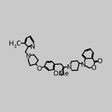 COc1cc(OC2CCN(Cc3ncccc3C)CC2)ccc1CC(=O)N1CCC(N2COC(=O)c3ccccc32)CC1